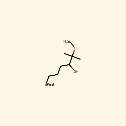 CCCCCCCCC(S)C(C)(C)O[SiH3]